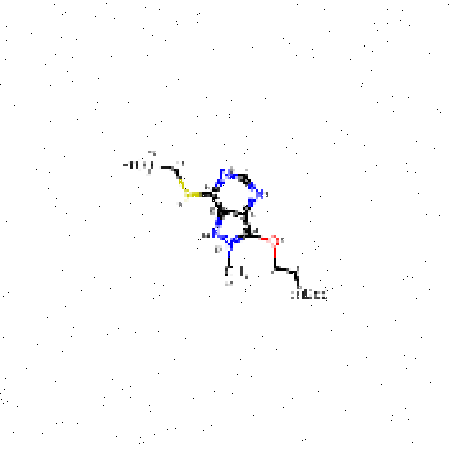 CCCCCCCCCCCCOc1c2ncnc(SCC(=O)OCC)c2nn1C